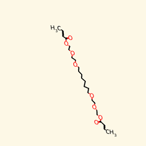 CC=CC(=O)OCCOCCOCCCCCCCCOCCOCCOC(=O)C=CC